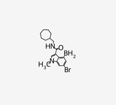 Bc1cc(Br)cc2c1c(C(=O)NCC1CCCCCC1)cn2C